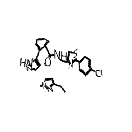 CCc1ccn(C)n1.O=C(NCc1csc(-c2ccc(Cl)cc2)n1)c1ccccc1-c1ccn[nH]1